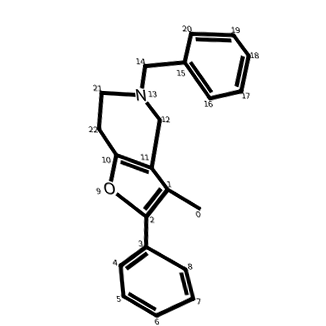 Cc1c(-c2ccccc2)oc2c1CN(Cc1ccccc1)CC2